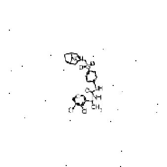 CC(NC(=O)Nc1ccc(S(=O)(=O)CC2CC3CCC(C2)N3C)cc1)c1cccc(Cl)c1Cl